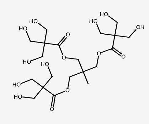 CC(COC(=O)C(CO)(CO)CO)(COC(=O)C(CO)(CO)CO)COC(=O)C(CO)(CO)CO